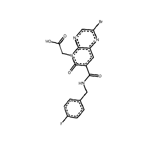 O=C(O)Cn1c(=O)c(C(=O)NCc2ccc(F)cc2)cc2nc(Br)cnc21